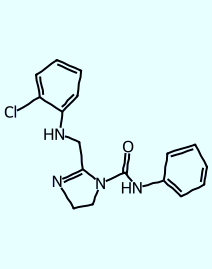 O=C(Nc1ccccc1)N1CCN=C1CNc1ccccc1Cl